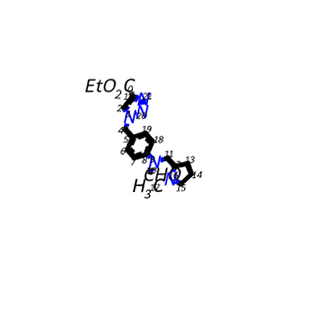 CCOC(=O)c1cn(Cc2ccc(N(C=O)CC3CCCN3C)cc2)nn1